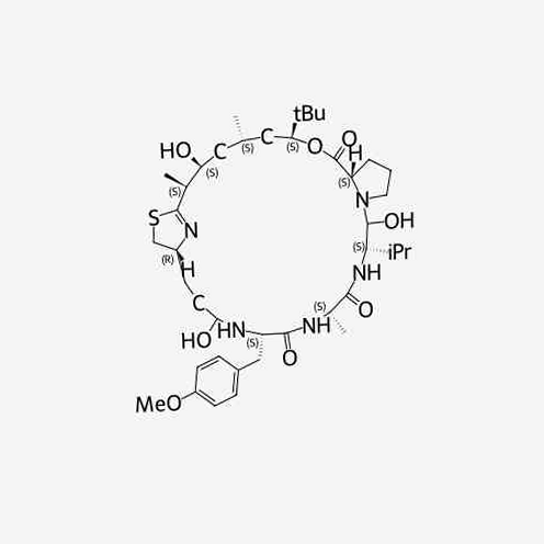 COc1ccc(C[C@@H]2NC(O)CC[C@@H]3CSC(=N3)[C@@H](C)[C@@H](O)C[C@H](C)C[C@@H](C(C)(C)C)OC(=O)[C@@H]3CCCN3C(O)[C@H](C(C)C)NC(=O)[C@H](C)NC2=O)cc1